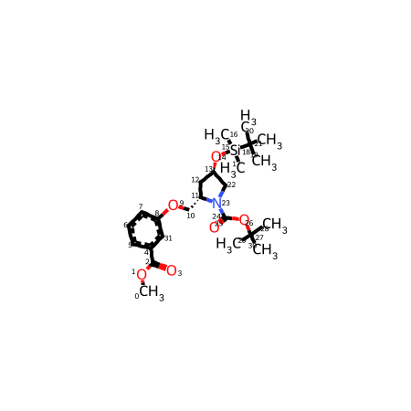 COC(=O)c1cccc(OC[C@@H]2C[C@@H](O[Si](C)(C)C(C)(C)C)CN2C(=O)OC(C)(C)C)c1